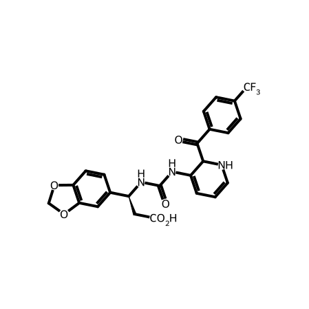 O=C(O)C[C@H](NC(=O)NC1=CC=CNC1C(=O)c1ccc(C(F)(F)F)cc1)c1ccc2c(c1)OCO2